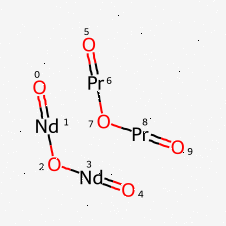 [O]=[Nd][O][Nd]=[O].[O]=[Pr][O][Pr]=[O]